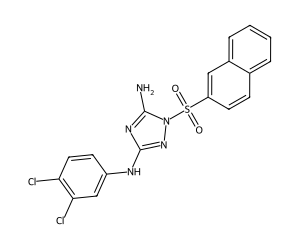 Nc1nc(Nc2ccc(Cl)c(Cl)c2)nn1S(=O)(=O)c1ccc2ccccc2c1